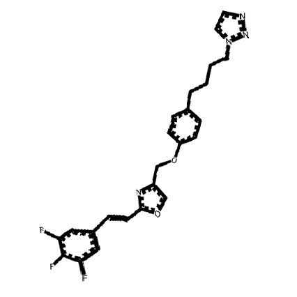 Fc1cc(C=Cc2nc(COc3ccc(CCCCn4ccnn4)cc3)co2)cc(F)c1F